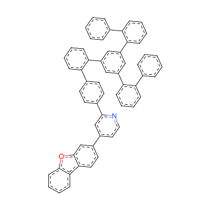 c1ccc(-c2ccccc2-c2cc(-c3ccccc3-c3ccccc3)cc(-c3ccccc3-c3ccc(-c4cc(-c5ccc6c(c5)oc5ccccc56)ccn4)cc3)c2)cc1